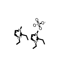 CCc1n(C)cc[n+]1CC.CCc1n(C)cc[n+]1CC.O=S(=O)([O-])[O-]